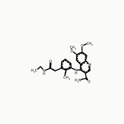 CCNC(=O)Cc1cccc(Nc2c(C(N)=O)cnc3cc(OC)c(OC)cc23)c1C